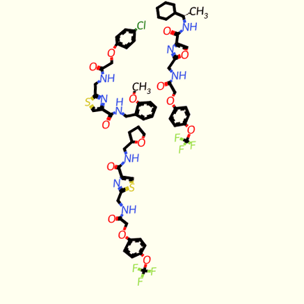 COc1ccccc1CNC(=O)c1csc(CNC(=O)COc2ccc(Cl)cc2)n1.C[C@H](NC(=O)c1coc(CNC(=O)COc2ccc(OC(F)(F)F)cc2)n1)C1CCCCC1.O=C(COc1ccc(OC(F)(F)F)cc1)NCc1nc(C(=O)NCC2CCCO2)cs1